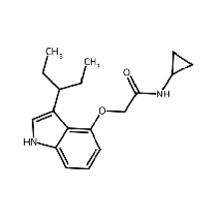 CCC(CC)c1c[nH]c2cccc(OCC(=O)NC3CC3)c12